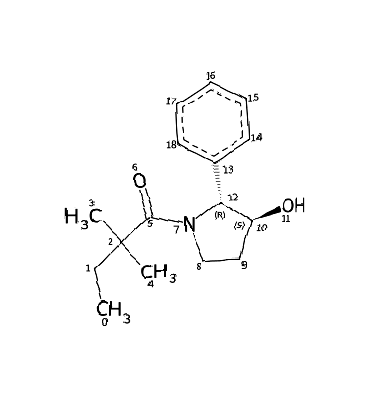 CCC(C)(C)C(=O)N1CC[C@H](O)[C@H]1c1ccccc1